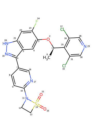 C[C@@H](Oc1cc2c(-c3ccc(N4CCS4(=O)=O)nc3)n[nH]c2cc1F)c1c(Cl)cncc1Cl